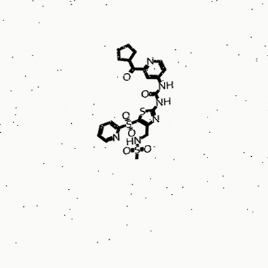 CS(=O)(=O)NCc1nc(NC(=O)Nc2ccnc(C(=O)C3CCCC3)c2)sc1S(=O)(=O)c1ccccn1